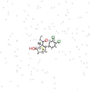 CCC(=O)C1=C(c2ccc(Cl)c(Cl)c2)CC2CC(O)[C@@H]1S2